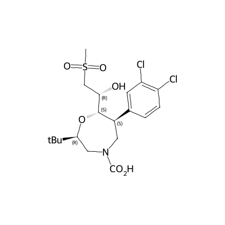 CC(C)(C)[C@@H]1CN(C(=O)O)C[C@H](c2ccc(Cl)c(Cl)c2)[C@@H]([C@@H](O)CS(C)(=O)=O)O1